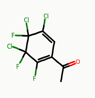 CC(=O)C1=C(F)C(F)(Cl)C(F)(Cl)C(Cl)=C1